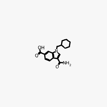 NC(=O)c1cn(CC2CCCCC2)c2cc(C(=O)O)ccc12